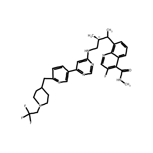 CNC(=O)c1c(F)cnc2c(C(C)[C@H](C)CNc3cc(-c4ccc(CC5CCN(CC(F)(F)F)CC5)nc4)ncn3)cccc12